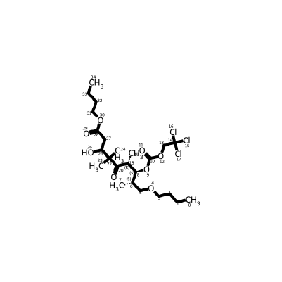 CCCCOC[C@H](C)[C@H](OC(=O)OCC(Cl)(Cl)Cl)[C@@H](C)C(=O)C(C)(C)C(O)CC(=O)OCCCC